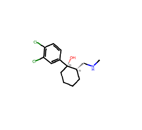 CNC[C@@H]1CCCC[C@@]1(O)c1ccc(Cl)c(Cl)c1